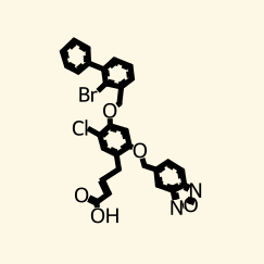 O=C(O)/C=C/Cc1cc(Cl)c(OCc2cccc(-c3ccccc3)c2Br)cc1OCc1ccc2nonc2c1